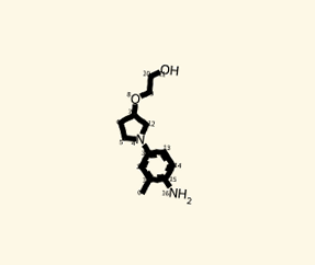 Cc1cc(N2CCC(OCCO)C2)ccc1N